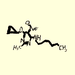 CCCCCNc1nc(C)nc(OC2CC2)c1[N+](=O)[O-]